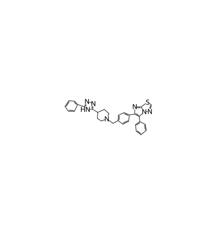 c1ccc(-c2nnc(C3CCN(Cc4ccc(-c5nc6scnn6c5-c5ccccc5)cc4)CC3)[nH]2)cc1